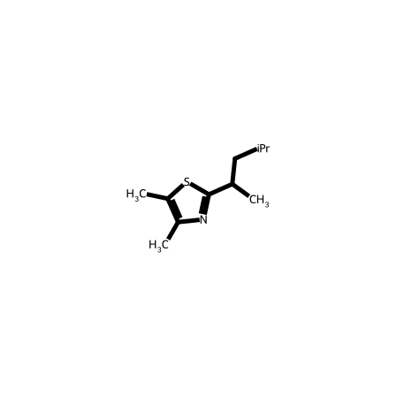 Cc1nc(C(C)CC(C)C)sc1C